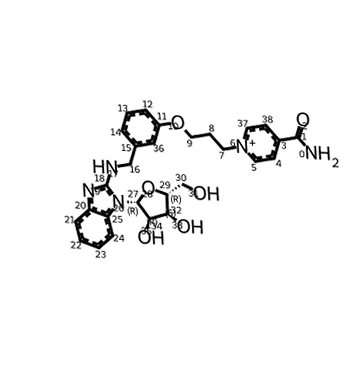 NC(=O)c1cc[n+](CCCOc2cccc(CNc3nc4ccccc4n3[C@@H]3O[C@H](CO)[C@@H](O)[C@H]3O)c2)cc1